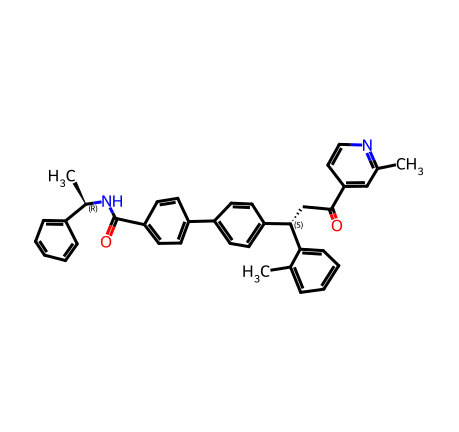 Cc1cc(C(=O)C[C@@H](c2ccc(-c3ccc(C(=O)N[C@H](C)c4ccccc4)cc3)cc2)c2ccccc2C)ccn1